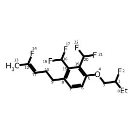 CCC(F)COc1ccc(CC/C=C(/C)F)c(C(F)F)c1C(F)F